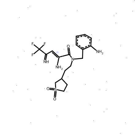 N=C(/C=C(\N)C(=O)N(CCC1CCS(=O)(=O)C1)Cc1ccccc1N)C(F)(F)F